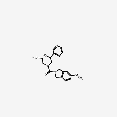 CCCN(CC(O)c1cccnc1)C(=O)N1Cc2ccc(OC)cc2C1